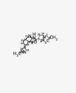 CC(C)CN1CCC(C(=O)Nc2ncc3ccc(-c4cnn(C)c4)cc3c2F)CC1